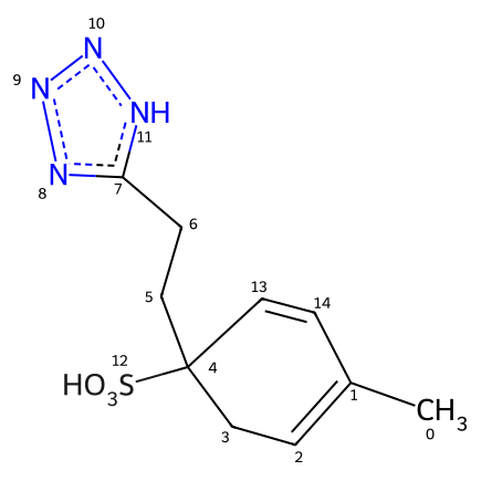 CC1=CCC(CCc2nnn[nH]2)(S(=O)(=O)O)C=C1